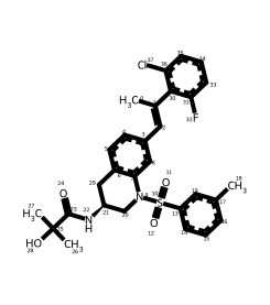 C/C(=C\c1ccc2c(c1)N(S(=O)(=O)c1cccc(C)c1)C[C@@H](NC(=O)C(C)(C)O)C2)c1c(F)cccc1Cl